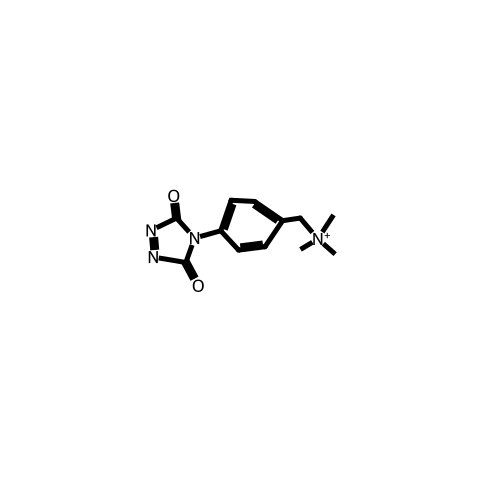 C[N+](C)(C)Cc1ccc(N2C(=O)N=NC2=O)cc1